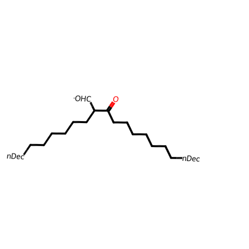 CCCCCCCCCCCCCCCCCC(=O)C([C]=O)CCCCCCCCCCCCCCCC